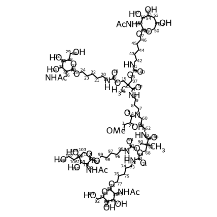 COCC(O)C(=O)N(CCCNC(=O)C(C)(COC(=O)NCCCCCO[C@@H]1OC(CO)[C@H](O)C(O)C1NC(C)=O)COC(=O)NCCCCCO[C@@H]1OCC(O)C[C@H](O)C(O)C1NC(C)=O)CCCNC(=O)C(C)(COC(=O)NCCCCCO[C@@H]1OC(CO)[C@H](O)C(O)C1NC(C)=O)COC(=O)NCCCCCO[C@@H]1OC[C@](O)(CCO)C(O)C1NC(C)=O